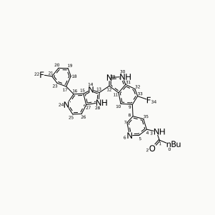 CCCCC(=O)Nc1cncc(-c2cc3c(-c4nc5c(-c6cccc(F)c6)nccc5[nH]4)n[nH]c3cc2F)c1